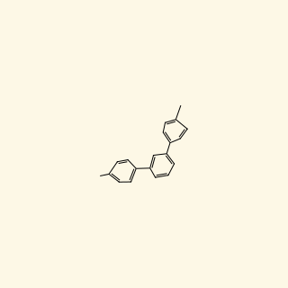 Cc1ccc(-c2cccc(-c3ccc(C)cc3)c2)cc1